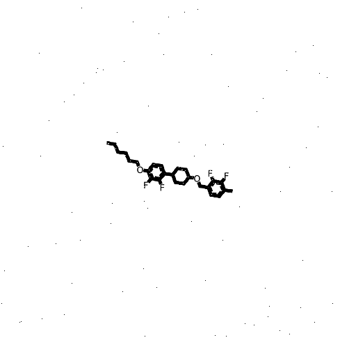 CCCCCCOc1ccc(C2CCC(OCc3ccc(C)c(F)c3F)CC2)c(F)c1F